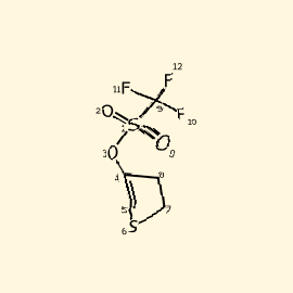 O=S(=O)(OC1=CSCC1)C(F)(F)F